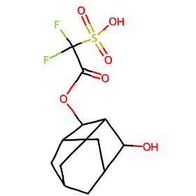 O=C(OC1C2CC3CC(C2)C(O)C1C3)C(F)(F)S(=O)(=O)O